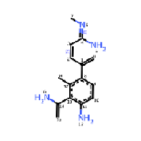 C=C(/C=C\C(N)=N/C)c1ccc(N)c(C(=C)N)c1C